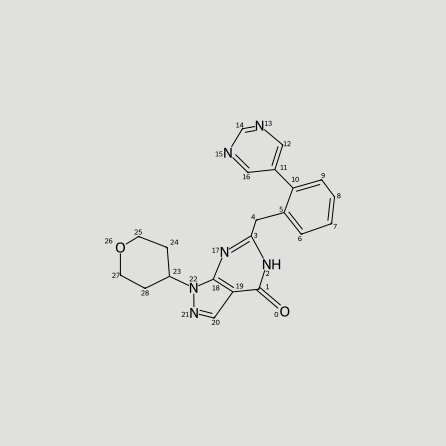 O=c1[nH]c(Cc2ccccc2-c2cncnc2)nc2c1cnn2C1CCOCC1